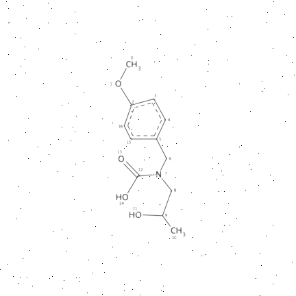 COc1ccc(CN(CC(C)O)C(=O)O)cc1